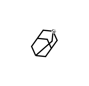 C1C2CC3CC1C[Si](C2)C3